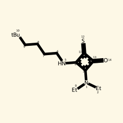 CCN(CC)c1c(NCCCCC(C)(C)C)c(=S)c1=O